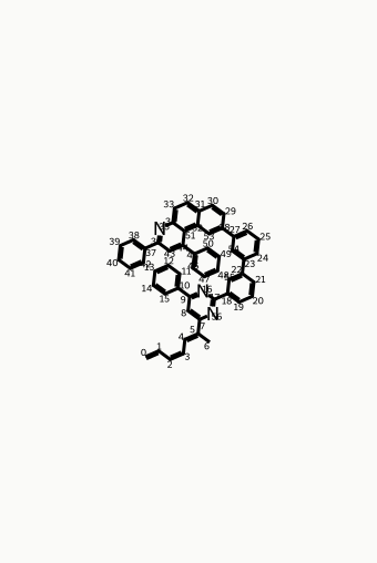 C=C/C=C\C=C(/C)c1cc(-c2ccccc2)nc(-c2cccc(-c3cccc(-c4ccc5ccc6nc(-c7ccccc7)cc(-c7ccccc7)c6c5c4)c3)c2)n1